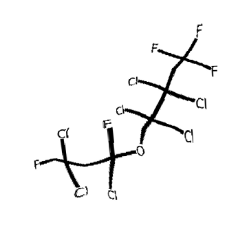 FC(F)(F)C(Cl)(Cl)C(Cl)(Cl)OC(F)(Cl)C(F)(Cl)Cl